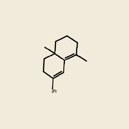 CC1=C2C=C(C(C)C)CCC2(C)CCC1